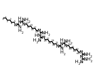 CCCCCCN=C(N)NC(N)=NCCCCCCN=C(N)NC(N)=NCCCCCCN=C(N)NC(N)=NCCCCCCN=C(N)N=C(N)N